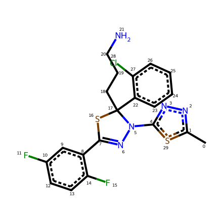 Cc1nnc(N2N=C(c3cc(F)ccc3F)SC2(CCCN)c2ccccc2Cl)s1